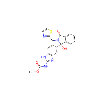 COC(=O)Nc1nc2cc(C3(O)c4ccccc4C(=O)N3Cc3nccs3)ccc2[nH]1